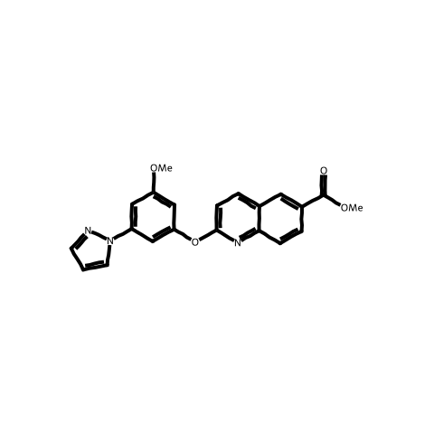 COC(=O)c1ccc2nc(Oc3cc(OC)cc(-n4cccn4)c3)ccc2c1